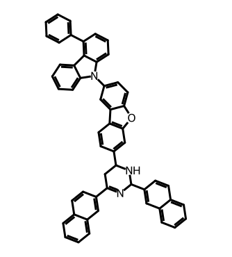 c1ccc(-c2cccc3c2c2ccccc2n3-c2ccc3oc4cc(C5CC(c6ccc7ccccc7c6)=NC(c6ccc7ccccc7c6)N5)ccc4c3c2)cc1